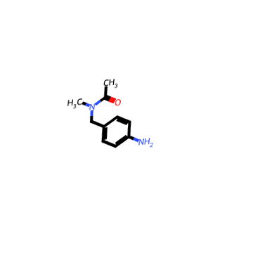 CC(=O)N(C)Cc1ccc(N)cc1